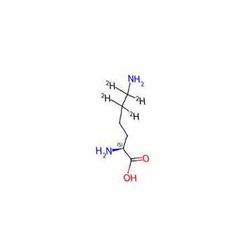 [2H]C([2H])(N)C([2H])([2H])CC[C@H](N)C(=O)O